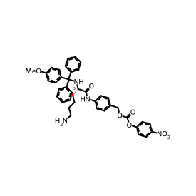 COc1ccc(C(N[C@@H](CCCCN)C(=O)Nc2ccc(COC(=O)Oc3ccc([N+](=O)[O-])cc3)cc2)(c2ccccc2)c2ccccc2)cc1